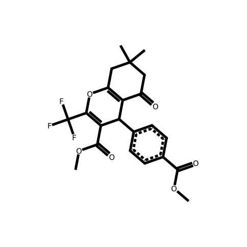 COC(=O)C1=C(C(F)(F)F)OC2=C(C(=O)CC(C)(C)C2)C1c1ccc(C(=O)OC)cc1